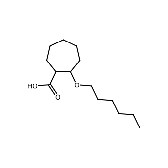 CCCCCCOC1CCCCCC1C(=O)O